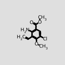 C=Cc1c(N)c(C(=O)OC)cc(Cl)c1OC